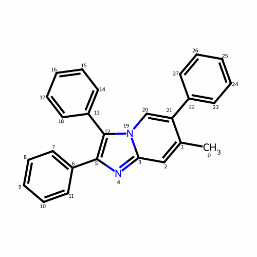 Cc1cc2nc(-c3ccccc3)c(-c3ccccc3)n2cc1-c1ccccc1